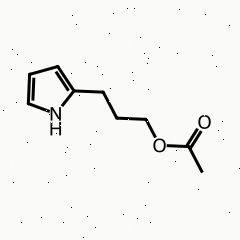 CC(=O)OCCCc1ccc[nH]1